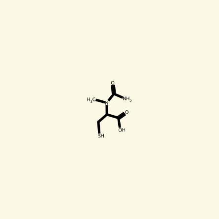 CN(C(N)=O)C(CS)C(=O)O